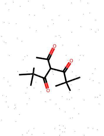 CC(=O)C(C(=O)C(C)(C)C)C(=O)C(C)(C)C